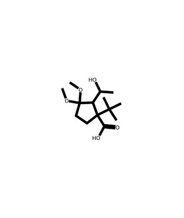 COC1(OC)CCC(C(=O)O)(C(C)(C)C)C1C(C)O